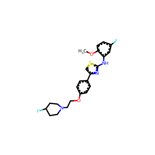 COc1ccc(F)cc1Nc1nc(-c2ccc(OCCN3CCC(F)CC3)cc2)cs1